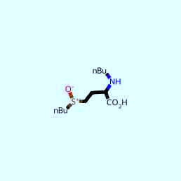 CCCCNC(CC[S+]([O-])CCCC)C(=O)O